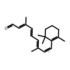 CC(C=CC=C(C)/C=C\C1=C(C)CCCC1(C)C)=CC=O